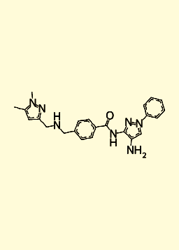 Cc1cc(CNCc2ccc(C(=O)Nc3nn(-c4ccccc4)cc3N)cc2)nn1C